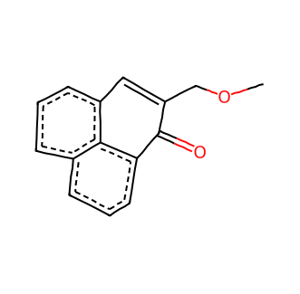 COCC1=Cc2cccc3cccc(c23)C1=O